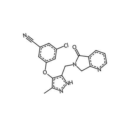 Cc1n[nH]c(CN2Cc3ncccc3C2=O)c1Oc1cc(Cl)cc(C#N)c1